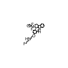 C[C@@H]1Cc2c([nH]c3ccccc23)[C@@H](c2c(F)cc(OCCNCCCF)cc2F)N1CC1(F)COC1